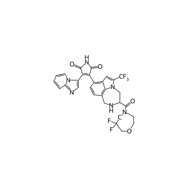 O=C1NC(=O)C(c2cnc3ccccn23)=C1c1ccc2c3c1cc(C(F)(F)F)n3CC(C(=O)N1CCOCC(F)(F)C1)NC2